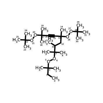 CCC(C)(C)OOC(C)(C)C(C)CC(C)(C#CC(C)(C)OOC(C)(C)C)OOC(C)(C)C